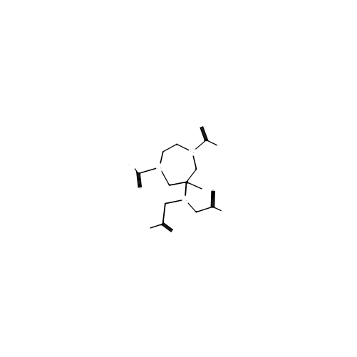 CC1(N(CC(=O)O)CC(=O)O)CN(C(=O)O)CCN(C(=O)O)C1